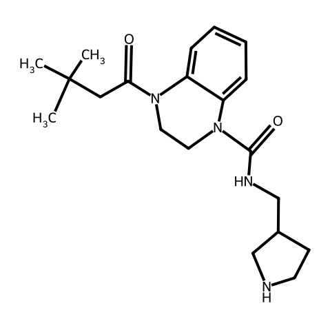 CC(C)(C)CC(=O)N1CCN(C(=O)NCC2CCNC2)c2ccccc21